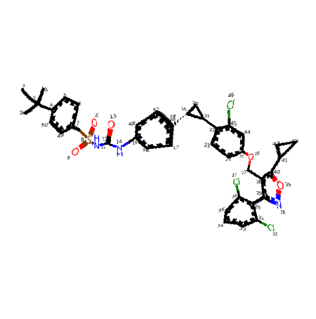 CC(C)(C)c1ccc(S(=O)(=O)NC(=O)Nc2ccc([C@@H]3CC3c3ccc(OCc4c(-c5c(Cl)cccc5Cl)noc4C4CC4)cc3Cl)cc2)cc1